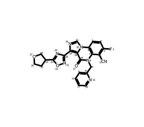 N#Cc1c(F)ccc2c1n(Cc1ccccn1)c(=O)c1c(-c3noc(C4CCOC4)n3)ncn12